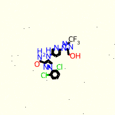 NC(=O)c1nn(-c2c(Cl)cccc2Cl)cc1Nc1ccc(-n2nc(C(F)(F)F)nc2CO)nc1